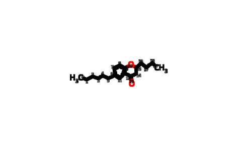 CCCCCCc1ccc2c(c1)C(=O)CC(CCCC)O2